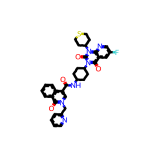 O=C(NC1CCC(n2c(=O)c3cc(F)cnc3n(C3CCSCC3)c2=O)CC1)c1cn(Cc2ccccn2)c(=O)c2ccccc12